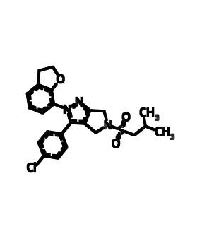 CC(C)CS(=O)(=O)N1Cc2nn(-c3cccc4c3OCC4)c(-c3ccc(Cl)cc3)c2C1